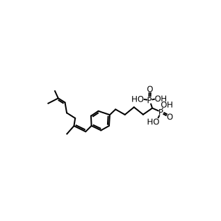 CC(C)=CCCC(C)=Cc1ccc(CCCCC(P(=O)(O)O)P(=O)(O)O)cc1